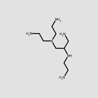 NCCNC(CN)CN(CCN)CCN